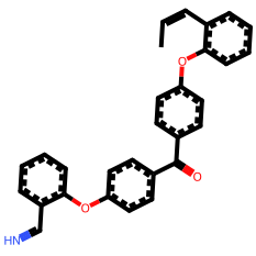 C/C=C\c1ccccc1Oc1ccc(C(=O)c2ccc(Oc3ccccc3C=N)cc2)cc1